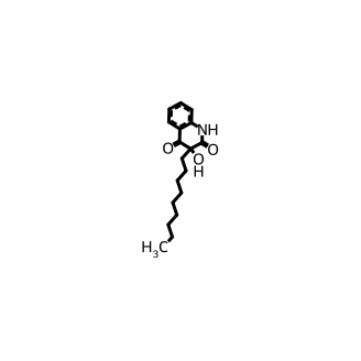 CCCCCCCCCC1(O)C(=O)Nc2ccccc2C1=O